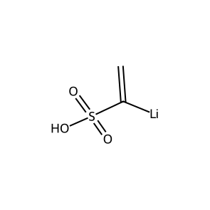 [Li][C](=C)S(=O)(=O)O